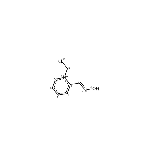 ON=Cc1cccc[n+]1CCl